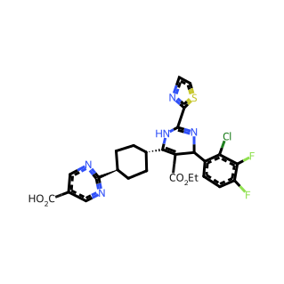 CCOC(=O)C1=C([C@H]2CC[C@H](c3ncc(C(=O)O)cn3)CC2)NC(c2nccs2)=NC1c1ccc(F)c(F)c1Cl